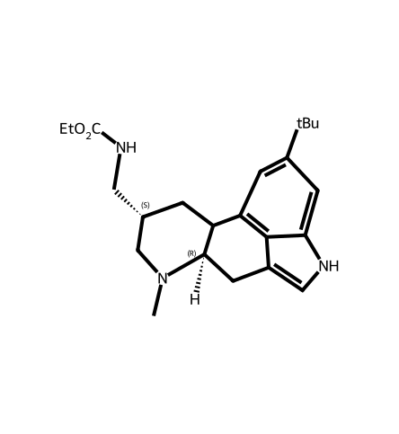 CCOC(=O)NC[C@@H]1CC2c3cc(C(C)(C)C)cc4[nH]cc(c34)C[C@H]2N(C)C1